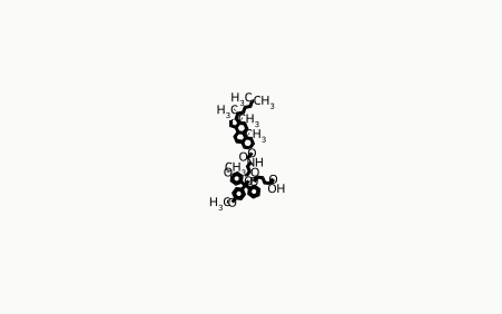 COc1ccc(C(OCC(CNC(=O)OC2CC[C@@]3(C)C(=CCC4C3CC[C@@]3(C)C4CC[C@@H]3[C@H](C)CCCC(C)C)C2)OC(=O)CCC(=O)O)(c2ccccc2)c2ccc(OC)cc2)cc1